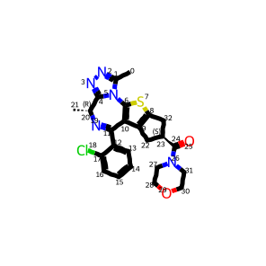 Cc1nnc2n1-c1sc3c(c1C(c1ccccc1Cl)=N[C@@H]2C)C[C@H](C(=O)N1CCOCC1)C3